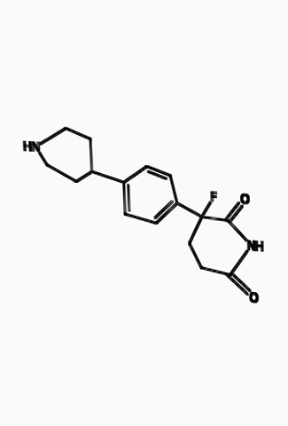 O=C1CCC(F)(c2ccc(C3CCNCC3)cc2)C(=O)N1